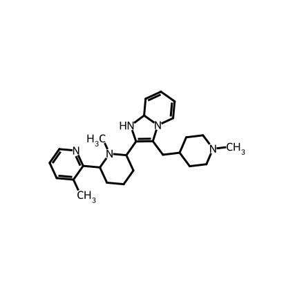 Cc1cccnc1C1CCCC(C2=C(CC3CCN(C)CC3)N3C=CC=CC3N2)N1C